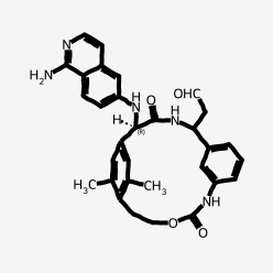 Cc1cc2cc(C)c1CCOC(=O)Nc1cccc(c1)C(CC=O)NC(=O)[C@@H]2Nc1ccc2c(N)nccc2c1